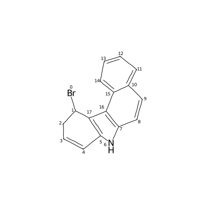 BrC1CC=Cc2[nH]c3ccc4ccccc4c3c21